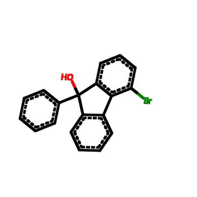 OC1(c2ccccc2)c2ccccc2-c2c(Br)cccc21